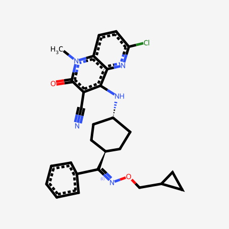 Cn1c(=O)c(C#N)c(N[C@H]2CC[C@H](/C(=N\OCC3CC3)c3ccccc3)CC2)c2nc(Cl)ccc21